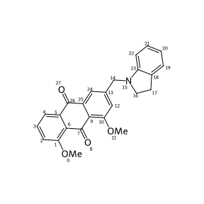 COc1cccc2c1C(=O)c1c(OC)cc(CN3CCc4ccccc43)cc1C2=O